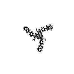 c1ccn2cc(-c3ccc(NC4=NC5=NC(Nc6ccc(-c7cn8ccccc8n7)cc6)=NC6=NC(Nc7ccc(-c8cn9ccccc9n8)cc7)=NC(=N4)N56)cc3)nc2c1